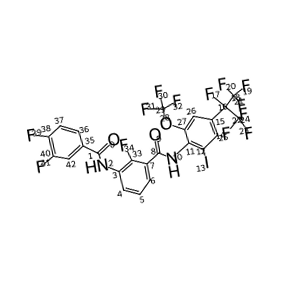 O=C(Nc1cccc(C(=O)Nc2c(I)cc(C(F)(C(F)(F)F)C(F)(F)F)cc2OC(F)(F)F)c1F)c1ccc(F)c(F)c1